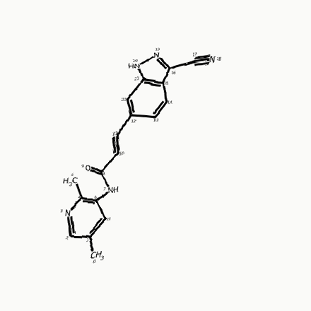 Cc1cnc(C)c(NC(=O)/C=C/c2ccc3c(C#N)n[nH]c3c2)c1